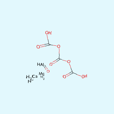 O=C(O)OC(=O)OC(=O)O.[CaH2].[H+].[MgH2].[O]=[AlH]